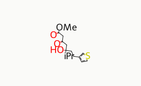 COC(=O)CC(=O)CC(O)(CCc1ccsc1)C(C)C